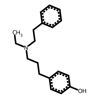 CCN(CCCc1ccc(O)cc1)CCc1ccccc1